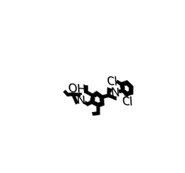 CCc1cc(C2CN(c3c(Cl)cccc3Cl)C2)cc(CC)c1CN1CC(O)(CC)C1